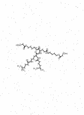 CCCCCCCCCCCC(=O)OCCCCNC(=O)CCC(NC(=O)C(CCCNC(=O)CCCN(C)C)NC(=O)CCCN(C)C)C(=O)NCCCCOC(=O)CCCCCCCCCCC